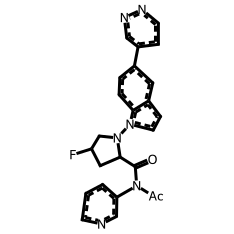 CC(=O)N(C(=O)C1CC(F)CN1n1ccc2cc(-c3ccnnc3)ccc21)c1cccnc1